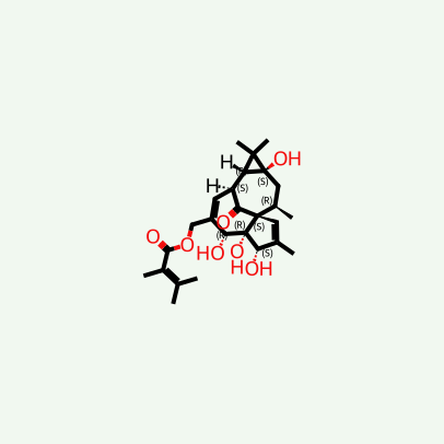 CC1=C[C@]23C(=O)[C@@H](C=C(COC(=O)C(C)=C(C)C)[C@@H](O)[C@]2(O)[C@H]1O)[C@@H]1C(C)(C)[C@]1(O)C[C@H]3C